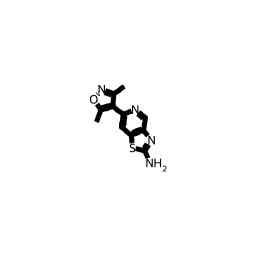 Cc1noc(C)c1-c1cc2sc(N)nc2cn1